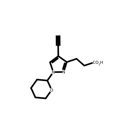 C#Cc1cn(C2CCCCO2)nc1CCC(=O)O